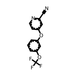 N#Cc1cc(Oc2cccc(OC(F)(F)F)c2)ccn1